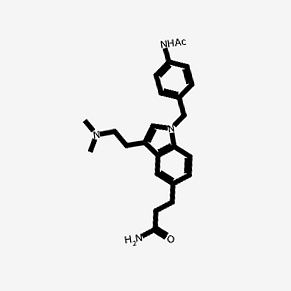 CC(=O)Nc1ccc(Cn2cc(CCN(C)C)c3cc(CCC(N)=O)ccc32)cc1